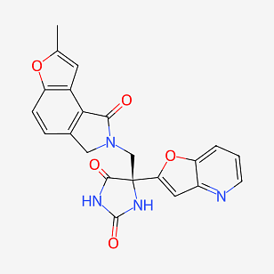 Cc1cc2c3c(ccc2o1)CN(C[C@@]1(c2cc4ncccc4o2)NC(=O)NC1=O)C3=O